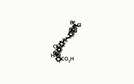 O=C(O)C1CCCC(NS(=O)(=O)c2ccc(N3CCC(CCCCC4CCN(S(=O)(=O)c5cc(Br)c(Cl)s5)CC4)CC3)c(Cl)c2)C1